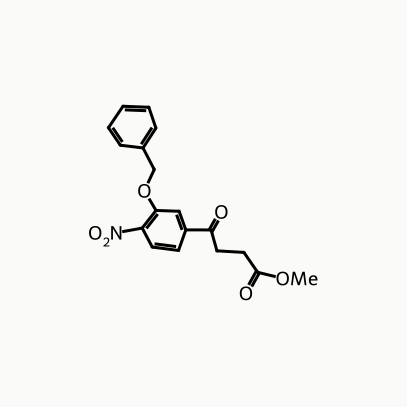 COC(=O)CCC(=O)c1ccc([N+](=O)[O-])c(OCc2ccccc2)c1